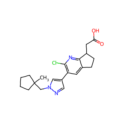 CC1(Cn2cc(-c3cc4c(nc3Cl)C(CC(=O)O)CC4)cn2)CCCC1